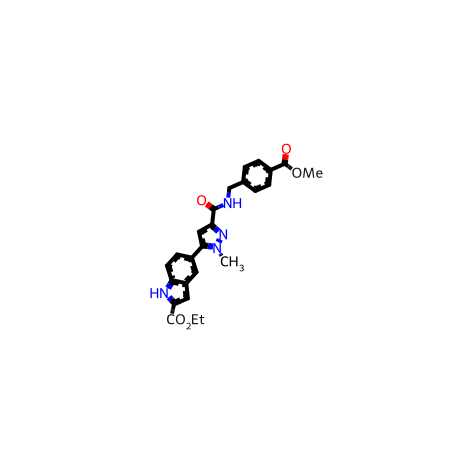 CCOC(=O)c1cc2cc(-c3cc(C(=O)NCc4ccc(C(=O)OC)cc4)nn3C)ccc2[nH]1